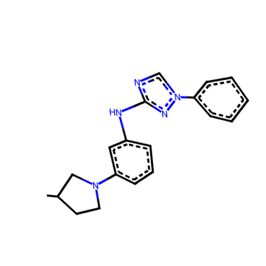 CC1CCN(c2cccc(Nc3ncn(-c4ccccc4)n3)c2)C1